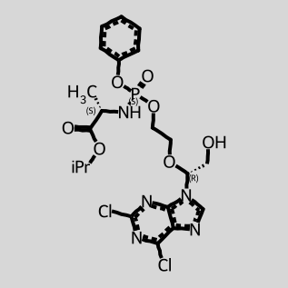 CC(C)OC(=O)[C@H](C)N[P@](=O)(OCCO[C@H](CO)n1cnc2c(Cl)nc(Cl)nc21)Oc1ccccc1